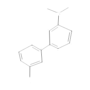 CN(C)c1[c]ccc(-c2cccc(O)c2)c1